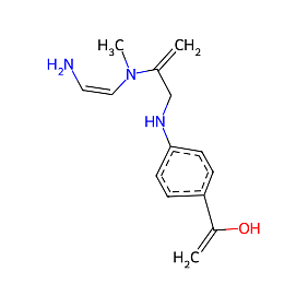 C=C(O)c1ccc(NCC(=C)N(C)/C=C\N)cc1